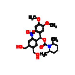 COc1ccc(C(OC(=O)N2C(C)CCCC2C)c2cc(CO)c(CO)cc2[N+](=O)[O-])cc1OC